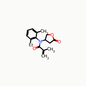 C=C(C)C(=O)N(c1c(C)cccc1CC)C1COC(=O)C1